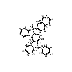 O=P(c1ccccc1)(c1ccc2ccncc2c1)c1ccc2c(c1)c1ccccc1n2-c1ccccc1